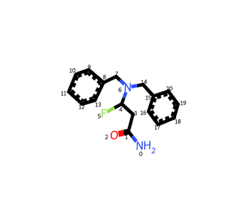 NC(=O)CC(F)N(Cc1ccccc1)Cc1ccccc1